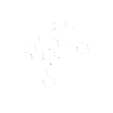 CCC(C)[C@H](NC(=O)[C@H](OCc1ccccc1)[C@H](O)[C@@H](O)[C@@H](OCc1ccccc1)C(=O)N[C@H](C(=O)NC)C(C)CC)C(=O)NC